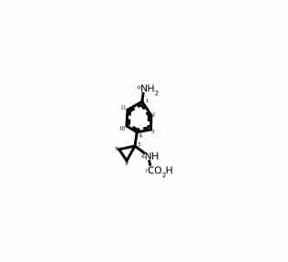 Nc1ccc(C2(NC(=O)O)CC2)cc1